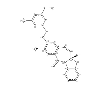 Cc1cc(CBr)cc(COc2cc3c(cc2C)C(=O)N2c4ccccc4C[C@H]2C=N3)c1